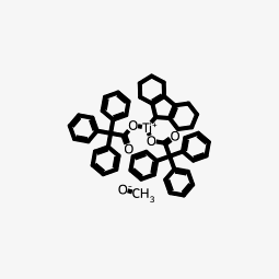 C[O-].O=C([O][Ti+]([O]C(=O)C(c1ccccc1)(c1ccccc1)c1ccccc1)[CH]1C2=C(CCCC2)C2=C1CCCC2)C(c1ccccc1)(c1ccccc1)c1ccccc1